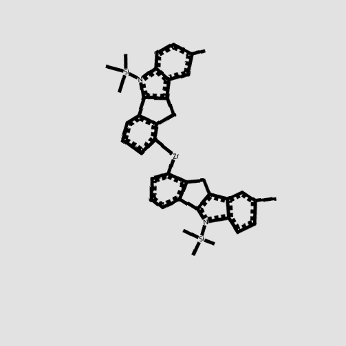 Cc1ccc2c(c1)c1c(n2[Si](C)(C)C)-c2ccc[c]([Zr][c]3cccc4c3Cc3c-4n([Si](C)(C)C)c4ccc(C)cc34)c2C1